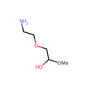 COC(O)COCCN